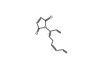 C=C/C=C\C/C=C(\C=C)N1C(=O)C=CC1=O